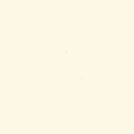 C=C(C)C(=O)OC(C)OCCC[Si](C)(C)O[Si](C)(C)CCCC(=O)CCO